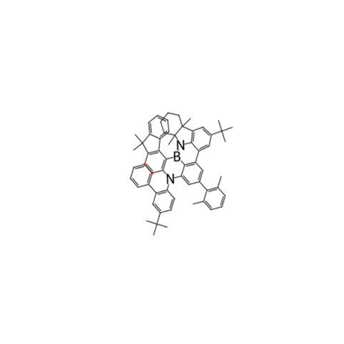 Cc1cccc(C)c1-c1cc2c3c(c1)N(c1ccc(C(C)(C)C)cc1-c1ccccc1)c1ccc4c(c1B3N1c3c-2cc(C(C)(C)C)cc3C2(C)CCCCC12C)-c1ccccc1C4(C)C